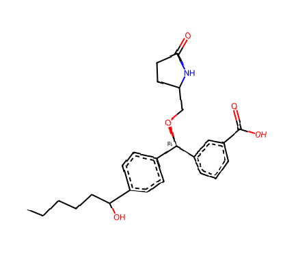 CCCCCC(O)c1ccc([C@@H](OCC2CCC(=O)N2)c2cccc(C(=O)O)c2)cc1